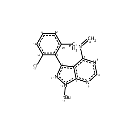 C=Nc1ncnc2c1c(-c1c(C)cccc1Cl)nn2C(C)(C)C